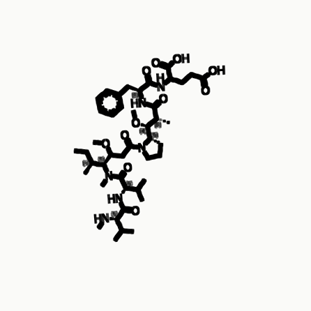 CC[C@H](C)[C@@H](C(CC(=O)N1CCC[C@H]1[C@H](OC)[C@@H](C)C(=O)N[C@@H](Cc1ccccc1)C(=O)NC(CCC(=O)O)C(=O)O)OC)N(C)C(=O)[C@@H](NC(=O)[C@@H](NC)C(C)C)C(C)C